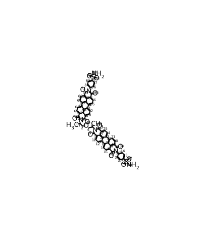 CC(COCC(C)N1C(=O)c2ccc3c4ccc5c6c(ccc(c7ccc(c2c37)C1=O)c64)C(=O)N(c1ccc(S(N)(=O)=O)cc1)C5=O)N1C(=O)c2ccc3c4ccc5c6c(ccc(c7ccc(c2c37)C1=O)c64)C(=O)N(c1ccc(S(N)(=O)=O)cc1)C5=O